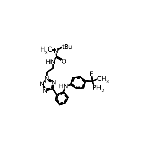 CN(C(=O)NCCn1nnc(-c2ccccc2Nc2ccc(C(C)(F)P)cc2)n1)C(C)(C)C